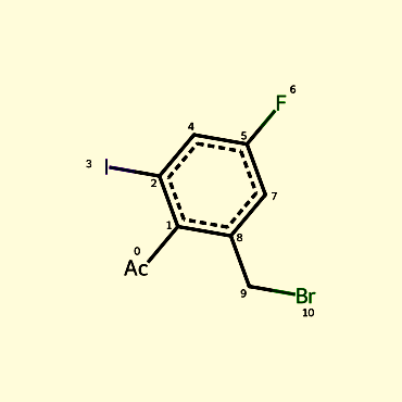 CC(=O)c1c(I)cc(F)cc1CBr